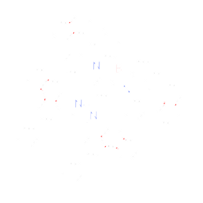 c1ccc(-c2cc(-c3ccccc3)cc(-c3cc(-c4cc(-c5ccccc5)cc(-c5ccccc5)c4)nc(-c4cc5c6c(c4)N(c4cc(-c7ccccc7)cc(-c7ccccc7)c4)c4c(ccc7cc8ccccc8cc47)B6c4ccc6cc7ccccc7cc6c4N5c4cc(-c5ccccc5)cc(-c5ccccc5)c4)n3)c2)cc1